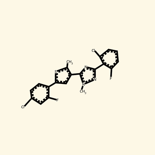 Cc1sc(-c2ccc(Cl)cc2F)cc1-c1nc(-c2c(F)cccc2Cl)nn1C